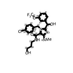 CNc1nc(C(O)c2cccc(OC(F)(F)F)c2)n(Cc2ccc(Cl)cc2)c1C(=O)NCCCO